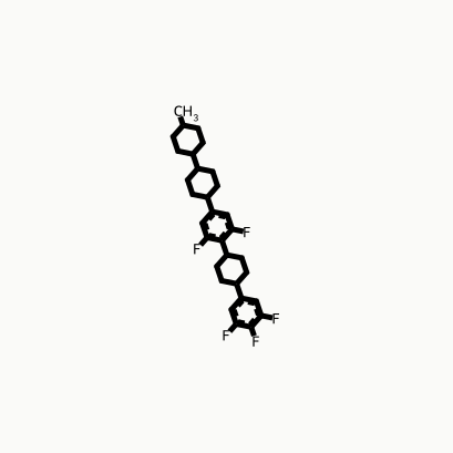 CC1CCC(C2CCC(c3cc(F)c(C4CCC(c5cc(F)c(F)c(F)c5)CC4)c(F)c3)CC2)CC1